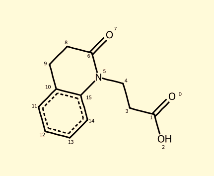 O=C(O)CCN1C(=O)CCc2ccccc21